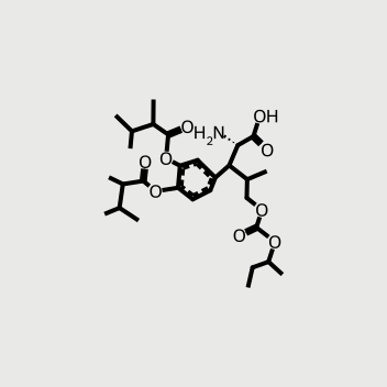 CCC(C)OC(=O)OCC(C)C(c1ccc(OC(=O)C(C)C(C)C)c(OC(=O)C(C)C(C)C)c1)[C@H](N)C(=O)O